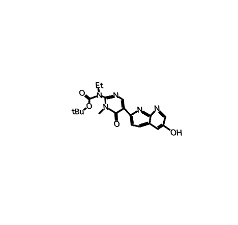 CCN(C(=O)OC(C)(C)C)c1ncc(-c2ccc3cc(O)cnc3n2)c(=O)n1C